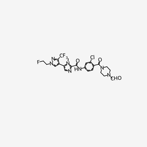 Cn1c(-c2cn(CCF)nc2C(F)(F)F)cnc1C(=O)Nc1ccc(C(=O)N2CCN(C=O)CC2)c(Cl)c1